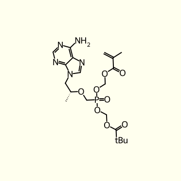 C=C(C)C(=O)OCOP(=O)(CO[C@H](C)Cn1cnc2c(N)ncnc21)OCOC(=O)C(C)(C)C